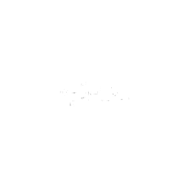 C=C/C(=C\N(C(C)C)C1CCN(C)CC1)C(C)C